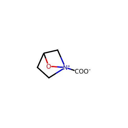 O=C([O-])[N+]12CCC(C1)O2